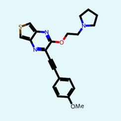 COc1ccc(C#Cc2nc3cscc3nc2OCCN2CCCC2)cc1